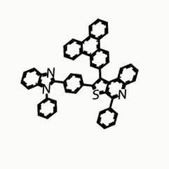 c1ccc(-c2nc3ccccc3c3c(-c4ccc5c6ccccc6c6ccccc6c5c4)c(-c4ccc(-c5nc6ccccc6n5-c5ccccc5)cc4)sc23)cc1